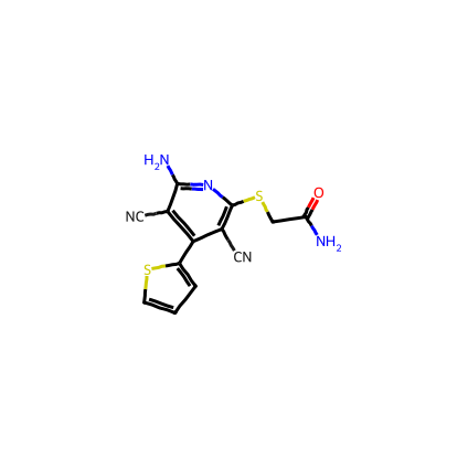 N#Cc1c(N)nc(SCC(N)=O)c(C#N)c1-c1cccs1